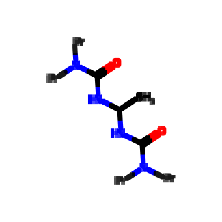 CC(C)N(C(=O)NC([SiH3])NC(=O)N(C(C)C)C(C)C)C(C)C